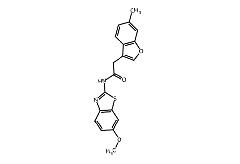 COc1ccc2nc(NC(=O)Cc3coc4cc(C)ccc34)sc2c1